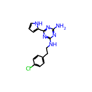 Nc1nc(NCCc2ccc(Cl)cc2)nc(-c2ccc[nH]2)n1